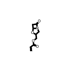 [CH]=CC(=O)OCC1CN2C(=O)CC2O1